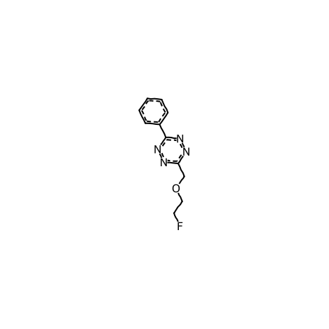 FCCOCc1nnc(-c2ccccc2)nn1